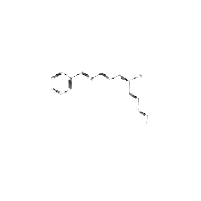 Cl/C=N/C=C/C(Br)=C\N=C\N=C\c1ccccc1